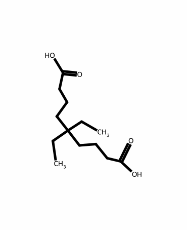 CCC(CC)(CCCC(=O)O)CCCC(=O)O